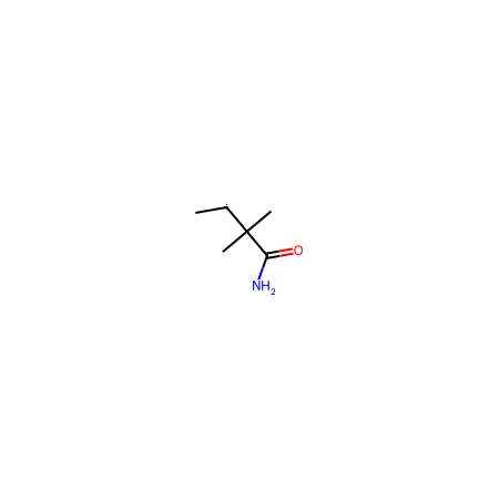 C[CH]C(C)(C)C(N)=O